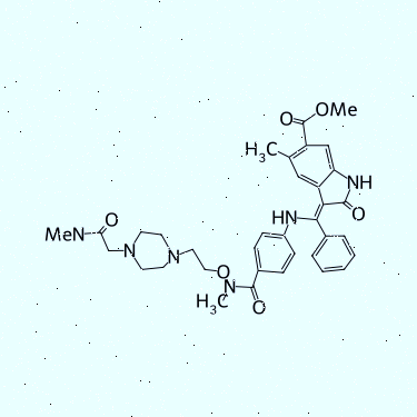 CNC(=O)CN1CCN(CCON(C)C(=O)c2ccc(NC(=C3C(=O)Nc4cc(C(=O)OC)c(C)cc43)c3ccccc3)cc2)CC1